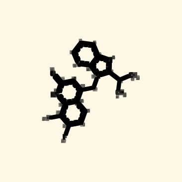 CC(C)c1nc2cccnc2n1Cc1cc(=O)[nH]c2c(F)c(F)ccc12